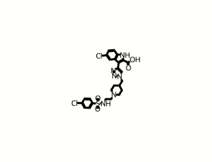 O=C(O)c1[nH]c2ccc(Cl)cc2c1-c1cn(CC2CCN(CCNS(=O)(=O)c3ccc(Cl)cc3)CC2)nn1